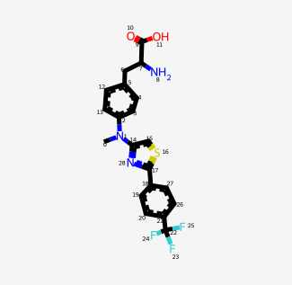 CN(c1ccc(CC(N)C(=O)O)cc1)c1csc(-c2ccc(C(F)(F)F)cc2)n1